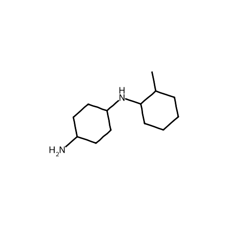 CC1CCCCC1NC1CCC(N)CC1